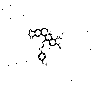 COc1ccc2c(CCOc3ccc(O)cc3)c3[n+](cc2c1OC)CCc1cc2c(cc1-3)OCO2.[I-]